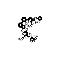 COc1nc(-c2cccc(-c3cccc4c3CC[C@@H]4Oc3nc(OC)c(CNC(C)(CO)C(=O)O)cc3Cl)c2Cl)ccc1CN[C@@H]1CCC[C@@H]1O